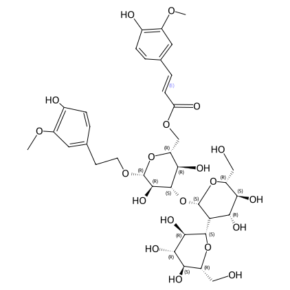 COc1cc(/C=C/C(=O)OC[C@H]2O[C@@H](OCCc3ccc(O)c(OC)c3)[C@H](O)[C@@H](O[C@@H]3O[C@H](CO)[C@@H](O)[C@H](O)C3[C@@H]3O[C@H](CO)[C@@H](O)[C@H](O)[C@H]3O)[C@@H]2O)ccc1O